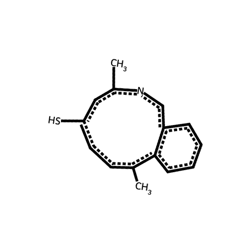 Cc1cc(S)ccc(C)c2ccccc2cn1